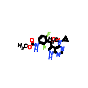 COC(=O)Nc1ccc(F)c(C(O)c2c[nH]c3ncnc(N(C)C4CC4)c23)c1F